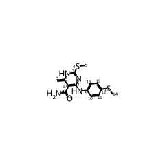 C=C1NC(SC)=NC(Nc2ccc(SC)cc2)=C1C(N)=O